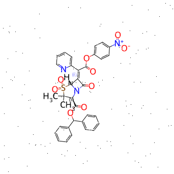 CC1(C)[C@H](C(=O)OC(c2ccccc2)c2ccccc2)N2C(=O)/C(=C(\C(=O)Oc3ccc([N+](=O)[O-])cc3)c3ccccn3)[C@H]2S1(=O)=O